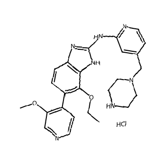 CCOc1c(-c2ccncc2OC)ccc2nc(Nc3cc(CN4CCNCC4)ccn3)[nH]c12.Cl